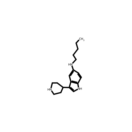 CCCCCNc1ccc2[nH]cc(C3CCNCC3)c2c1